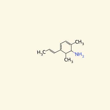 C/C=C/C1=CC=C(C)C(N)C1C